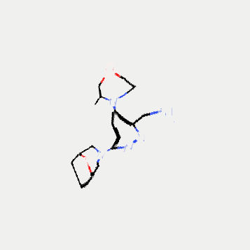 CC1COCCN1c1cc(N2CC3CCC(C2)O3)nnc1CN